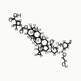 COCCOC[C@@H]1CC(F)CN1C[C@@H]1CCCN1C(=O)[C@]12CC[C@@H](C3(C)CC3)[C@@H]1C1CC[C@@H]3[C@@]4(C)CC[C@H](OC(=O)[C@H]5C[C@@H](C(=O)O)C5(C)C)C(C)(C)[C@@H]4CC[C@@]3(C)[C@]1(C)CC2